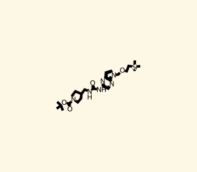 CC(C)(C)OC(=O)N1CCC(CNC(=O)Nc2cnc3c(ccn3COCC[Si](C)(C)C)n2)CC1